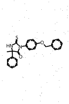 CC1(c2ccccc2)NC(=S)N(c2ccc(OCc3ccccc3)cc2)C1=O